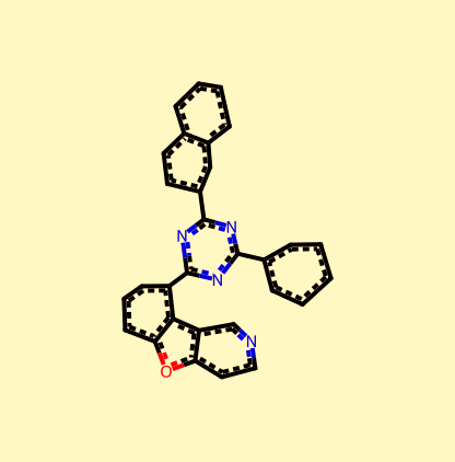 c1ccc(-c2nc(-c3ccc4ccccc4c3)nc(-c3cccc4oc5ccncc5c34)n2)cc1